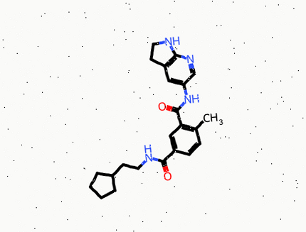 Cc1ccc(C(=O)NCCC2CCCC2)cc1C(=O)Nc1cnc2c(c1)CCN2